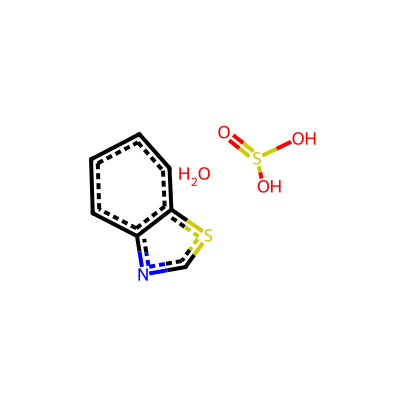 O.O=S(O)O.c1ccc2scnc2c1